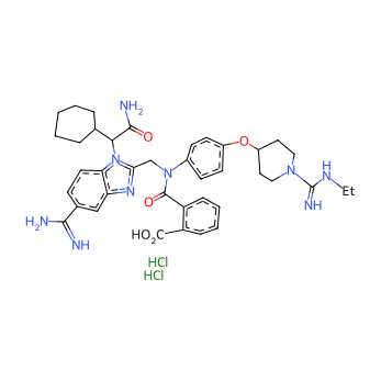 CCNC(=N)N1CCC(Oc2ccc(N(Cc3nc4cc(C(=N)N)ccc4n3C(C(N)=O)C3CCCCC3)C(=O)c3ccccc3C(=O)O)cc2)CC1.Cl.Cl